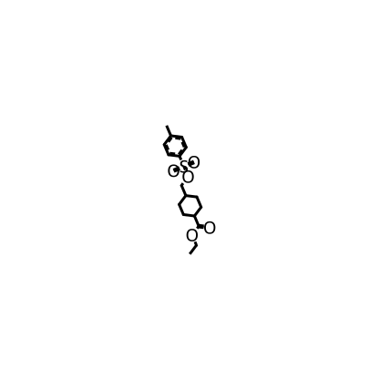 CCOC(=O)C1CCC(COS(=O)(=O)c2ccc(C)cc2)CC1